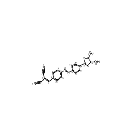 N#CC(C#N)=Cc1ccc(N=Nc2ccc(N3CC(O)C(O)C3)cc2)cc1